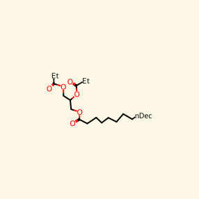 CCCCCCCCCCCCCCCCCC(=O)OCC(COC(=O)CC)OC(=O)CC